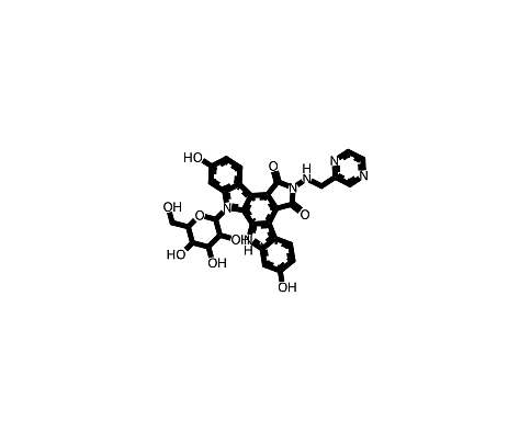 O=C1c2c(c3c4ccc(O)cc4n(C4OC(CO)C(O)C(O)C4O)c3c3[nH]c4cc(O)ccc4c23)C(=O)N1NCc1cnccn1